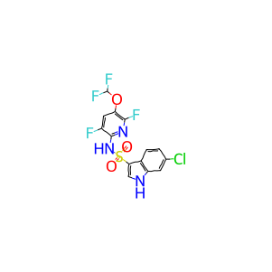 O=S(=O)(Nc1nc(F)c(OC(F)F)cc1F)c1c[nH]c2cc(Cl)ccc12